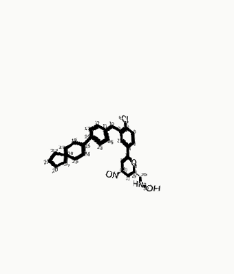 O=N[C@@H]1CC(c2ccc(Cl)c(Cc3ccc(C4CCC5(CCCC5)CC4)cc3)c2)O[C@H](CNO)C1